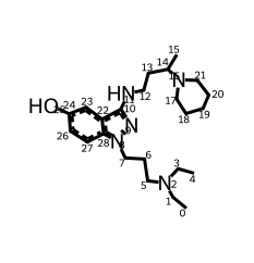 CCN(CC)CCCn1nc(NCCC(C)N2CCCCC2)c2cc(O)ccc21